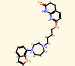 O=C1CCc2ccc(OCCCCN3CCCN(c4cccc5ccoc45)CC3)nc2N1